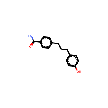 NC(=O)c1ccc(CCCc2ccc(O)cc2)cc1